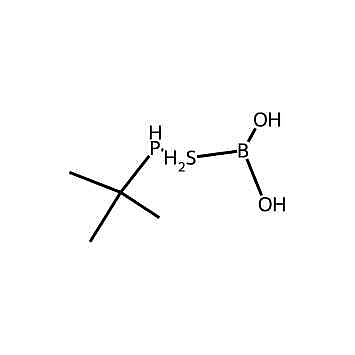 CC(C)(C)P[SH2]B(O)O